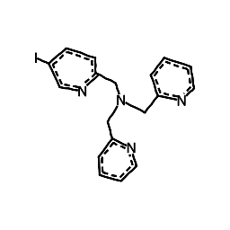 Ic1ccc(CN(Cc2ccccn2)Cc2ccccn2)nc1